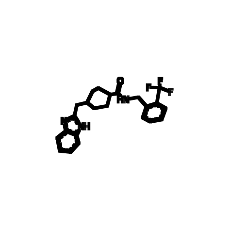 O=C(NCc1ccccc1C(F)(F)F)C1CCC(Cc2nc3ccccc3[nH]2)CC1